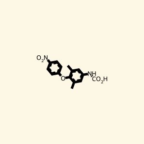 Cc1cc(NC(=O)O)cc(C)c1Oc1ccc([N+](=O)[O-])cc1